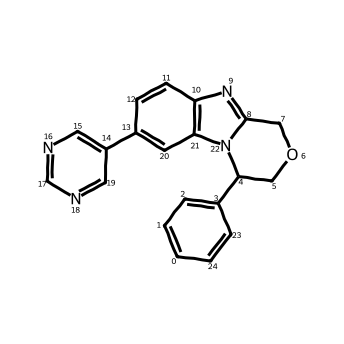 c1ccc(C2COCc3nc4ccc(-c5cncnc5)cc4n32)cc1